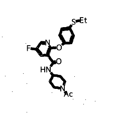 CCSc1ccc(Oc2ncc(F)cc2C(=O)NC2CCN(C(C)=O)CC2)cc1